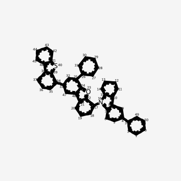 c1ccc(-c2ccc3c(c2)c2ccccc2n3-c2cccc3c2oc2c(-c4ccccc4)cc(-c4cccc5c4sc4ccccc45)cc23)cc1